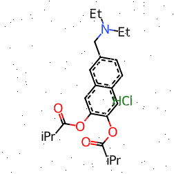 CCN(CC)Cc1ccc2cc(OC(=O)C(C)C)c(OC(=O)C(C)C)cc2c1.Cl